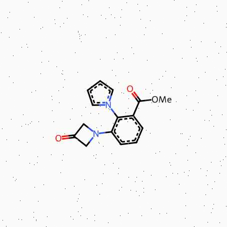 COC(=O)c1cccc(N2CC(=O)C2)c1-n1cccc1